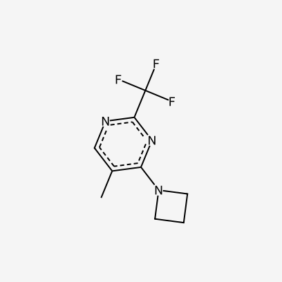 Cc1cnc(C(F)(F)F)nc1N1CCC1